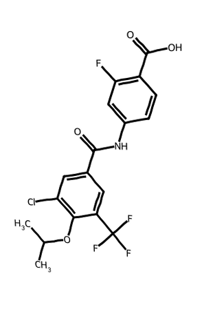 CC(C)Oc1c(Cl)cc(C(=O)Nc2ccc(C(=O)O)c(F)c2)cc1C(F)(F)F